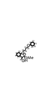 COC(=O)C(=CO)c1ccccc1OCCCCOc1ccccc1